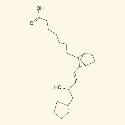 O=C(O)CCCCCCC1C2CCC(C2)C1C=CC(O)CC1CCCC1